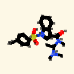 CC(C)c1ccc(S(=O)(=O)n2cc(C(=O)N(C)C(C)N(C)C)c3ccccc32)cc1